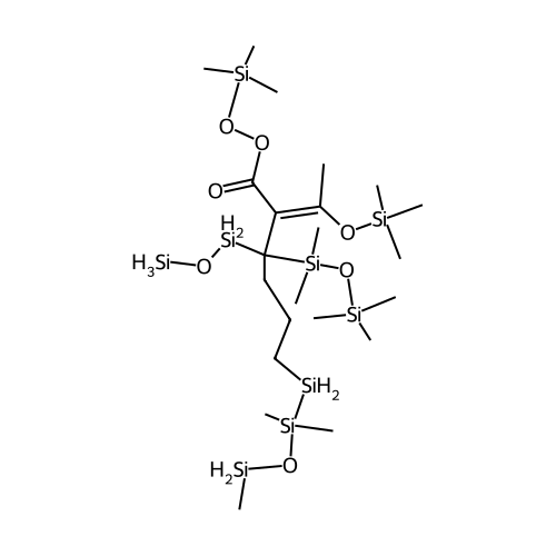 C[SiH2]O[Si](C)(C)[SiH2]CCCC([SiH2]O[SiH3])(C(C(=O)OO[Si](C)(C)C)=C(C)O[Si](C)(C)C)[Si](C)(C)O[Si](C)(C)C